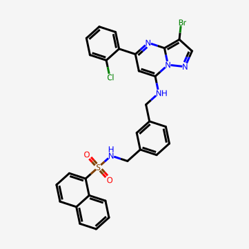 O=S(=O)(NCc1cccc(CNc2cc(-c3ccccc3Cl)nc3c(Br)cnn23)c1)c1cccc2ccccc12